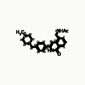 CC(=O)NCc1cccc2c(=O)[nH]c(-c3ccc(CN4CCN(C)CC4)cc3)cc12